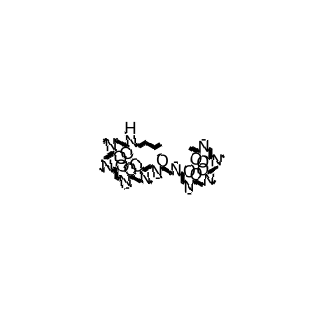 CCCCNC(=O)CN(C)C(=O)CN(C)C(=O)CN(C)C(=O)CN(C)C(=O)CN(C)C(=O)CN(C)C(=O)CN(C)C(=O)CN(C)C(=O)CN(C)C(=O)CN(C)C(C)=O